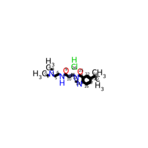 CCN(CC)CCNC(=O)/C=C/n1cnc2ccc(C(C)C)cc2c1=O.Cl